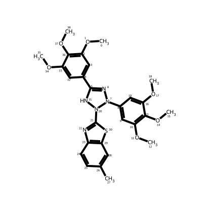 COc1cc(C2=NN(c3cc(OC)c(OC)c(OC)c3)N(c3nc4ccc(C)cc4s3)N2)cc(OC)c1OC